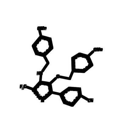 COc1ccc(CNc2c(C(F)(F)F)nnc(-c3ccc(C#N)cc3)c2OCc2ccc(OC)cc2)cc1